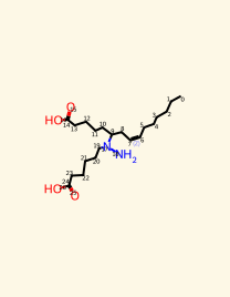 CCCCCC/C=C\CC(CCCCC(=O)O)N(N)CCCCCC(=O)O